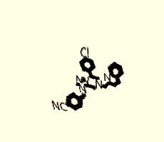 N#Cc1ccc(Cn2cnnc2CN(CCc2ccc(Cl)cc2)Cc2ccc3ccccc3n2)cc1